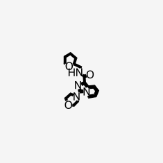 O=C(NCC1CCCCO1)c1nc(N2CCOCC2)n2ccccc12